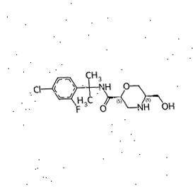 CC(C)(NC(=O)[C@@H]1CN[C@H](CO)CO1)c1ccc(Cl)cc1F